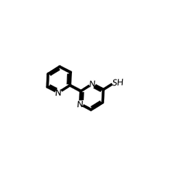 Sc1ccnc(-c2ccccn2)n1